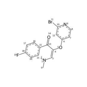 CN(C)/C=C(/Oc1ccnc(Br)c1)C(=O)c1ccc(F)cc1